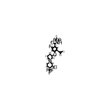 CS(=O)(=O)NC(=O)c1cc(C2CC2)c(O[C@@H]2CCCN(N3CC[C@H](C(F)(F)F)[C@@H](Cl)C3)C2)cc1F